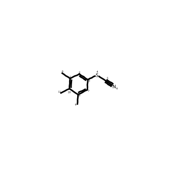 Cc1cc(SC#N)cc(C)c1C